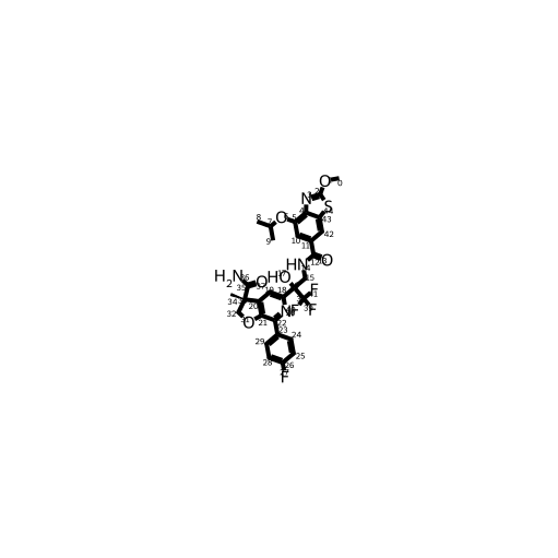 COc1nc2c(OC(C)C)cc(C(=O)NCC(O)(c3cc4c(c(-c5ccc(F)cc5)n3)OC[C@]4(C)C(N)=O)C(F)(F)F)cc2s1